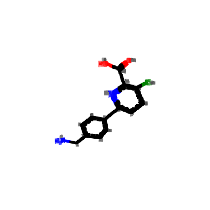 NCc1ccc(-c2ccc(Cl)c(C(=O)O)n2)cc1